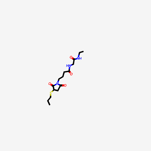 CCCSC1CC(=O)N(CCCC(=O)NCC(=O)NCC)C1=O